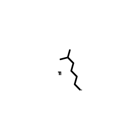 [CH2]CCCCC(C)C.[Ti]